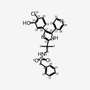 CC(C)(CNS(=O)(=O)Cc1ccccc1)c1nc(-c2ccc(Cl)c(O)c2)c(-c2ccncc2)[nH]1